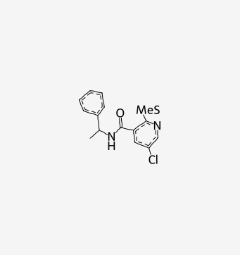 CSc1ncc(Cl)cc1C(=O)NC(C)c1ccccc1